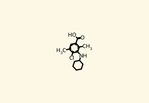 Cc1cc(C(=O)O)c(C)c(NC2CCCCC2)c1Cl